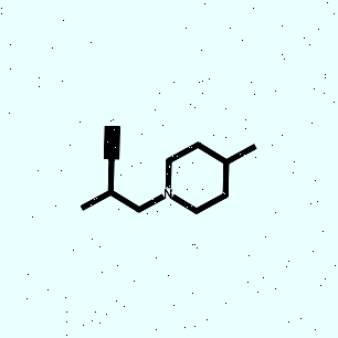 C#CC(C)CN1CCC(C)CC1